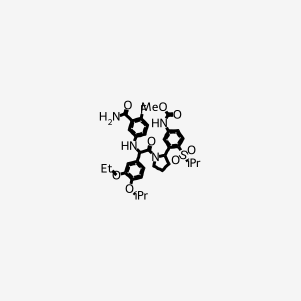 CCOc1cc(C(Nc2ccc(F)c(C(N)=O)c2)C(=O)N2CCCC2c2cc(NC(=O)OC)ccc2S(=O)(=O)C(C)C)ccc1OC(C)C